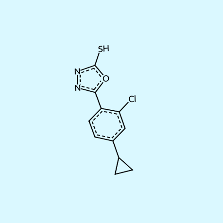 Sc1nnc(-c2ccc(C3CC3)cc2Cl)o1